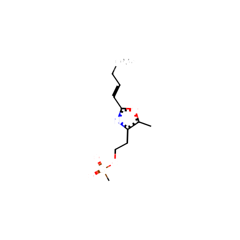 COCC=Cc1nc(CCOS(C)(=O)=O)c(C)o1